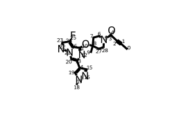 CC#CC(=O)N1CCC(C)(Oc2nc(-c3cnn(C)c3)cn3ncc(F)c23)CC1